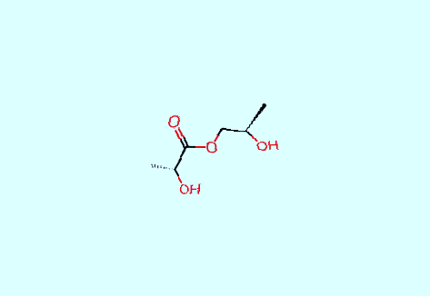 C[C@@H](O)COC(=O)[C@@H](C)O